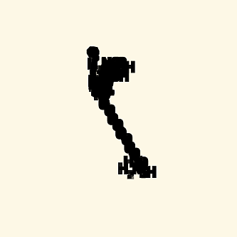 CC(C)C[C@H](NC(=O)[C@@H]1CCCN1C(=O)CCOCCOCCOCCOCCOCCOCCOCCOCCNC(=O)[C@@H](N)CS)C(=O)N[C@@H](Cc1cncn1CCCCCCCCc1ccccc1)C(=O)N[C@@H](CO)C(=O)N[C@H](C(N)=O)[C@@H](C)CP(=O)(O)O